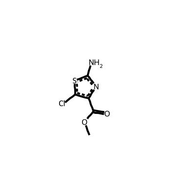 COC(=O)c1nc(N)sc1Cl